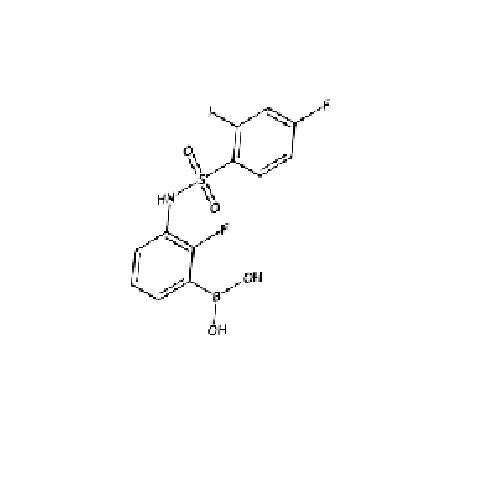 O=S(=O)(Nc1cccc(B(O)O)c1F)c1ccc(F)cc1I